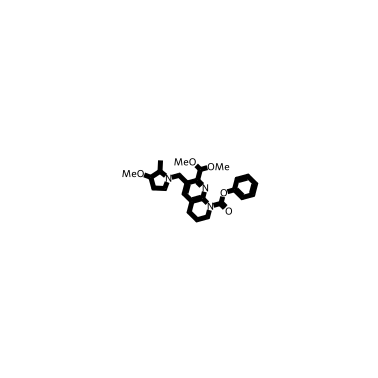 COC(OC)c1nc2c(cc1CN1CCC(OC)C1C)CCCN2C(=O)Oc1ccccc1